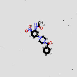 CC(=O)Nc1cc(N2CCN(C(=O)c3ccccc3)CC2)ccc1[N+](=O)[O-]